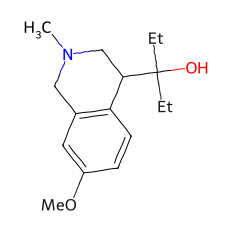 CCC(O)(CC)C1CN(C)Cc2cc(OC)ccc21